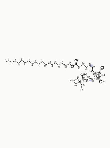 CCCCCCCCCCCCCCCCCC=CCOC(=O)CCC/C=C\C[C@@H]1[C@@H](/C=C/C[C@H](O)C2(CC)CCC2)[C@H](O)C[C@H]1Cl